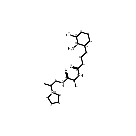 CC(CNC(=O)[C@H](C)NC(=O)CCCC1CCCC(O)[C@@H]1N)N1CCCC1